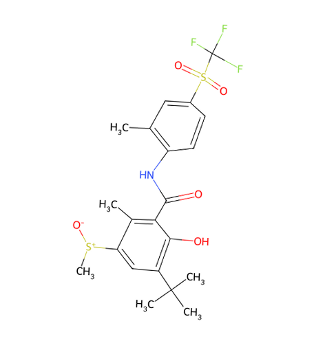 Cc1cc(S(=O)(=O)C(F)(F)F)ccc1NC(=O)c1c(C)c([S+](C)[O-])cc(C(C)(C)C)c1O